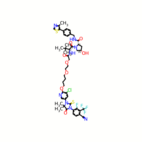 Cc1ncsc1-c1ccc(CNC(=O)[C@@H]2C[C@@H](O)CN2C(=O)[C@@H](NC(=O)COCCOCCCCOc2ncc(N3C(=S)N(c4ccc(C#N)c(C(F)(F)F)c4F)C(=O)C3(C)C)cc2Cl)C(C)(C)C)cc1